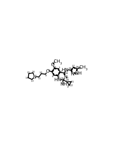 COc1cc2c(cc1OCCCN1CCCC1)NC(N)(C1CC1)N=C2Nc1cc(C)[nH]n1